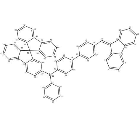 C(=C1c2ccccc2-c2ccccc21)c1ccc(-c2ccc(N(c3ccccc3)c3ccc4c(c3)C3(c5ccccc5-c5ccccc53)c3ccccc3-4)cc2)cc1